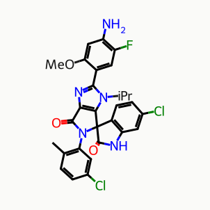 COc1cc(N)c(F)cc1-c1nc2c(n1C(C)C)C1(C(=O)Nc3cc(Cl)ccc31)N(c1cc(Cl)ccc1C)C2=O